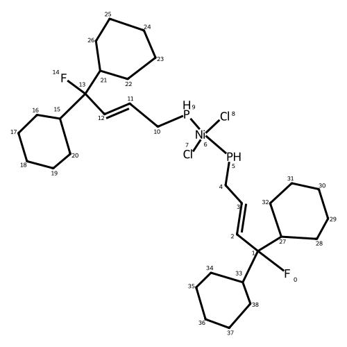 FC(C=CC[PH][Ni]([Cl])([Cl])[PH]CC=CC(F)(C1CCCCC1)C1CCCCC1)(C1CCCCC1)C1CCCCC1